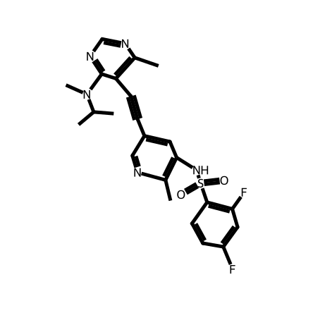 Cc1ncc(C#Cc2c(C)ncnc2N(C)C(C)C)cc1NS(=O)(=O)c1ccc(F)cc1F